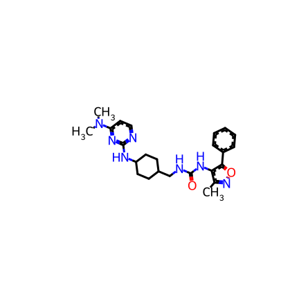 Cc1noc(-c2ccccc2)c1NC(=O)NCC1CCC(Nc2nccc(N(C)C)n2)CC1